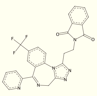 O=C1c2ccccc2C(=O)N1CCc1nnc2n1-c1ccc(C(F)(F)F)cc1C(c1ccccn1)=NC2